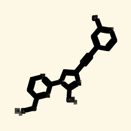 COc1ccnc(-n2cc(C#Cc3ccnc(Cl)c3)nc2C)n1